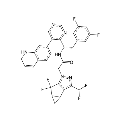 O=C(Cn1nc(C(F)F)c2c1C(F)(F)C1CC21)N[C@@H](Cc1cc(F)cc(F)c1)c1ncncc1-c1ccc2c(c1)NCC=C2